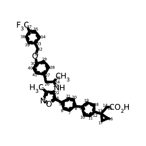 Cc1noc(-c2ccc(-c3ccc(C4(CC(=O)O)CC4)cc3)cc2)c1NC(C)Cc1ccc(OCc2ccc(C(F)(F)F)cc2)cc1